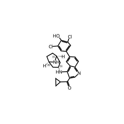 O=C(c1cnc2ccc(-c3cc(Cl)c(O)c(Cl)c3)cc2c1N[C@@H]1C[C@H]2CC[C@@H](C1)N2)C1CC1